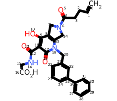 C=CCCC(=O)N1Cc2c(O)c(C(=O)NCC(=O)O)c(=O)n(Cc3cccc(-c4ccccc4)c3)c2C1